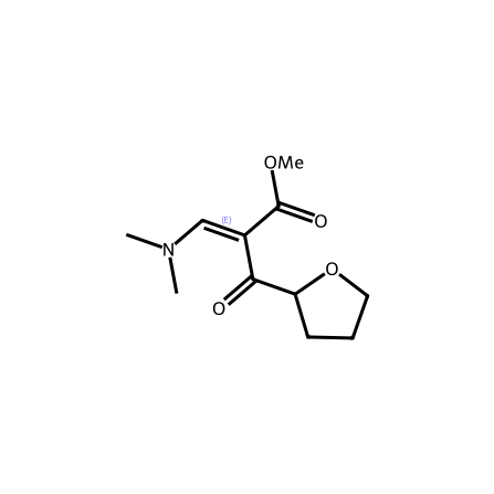 COC(=O)/C(=C/N(C)C)C(=O)C1CCCO1